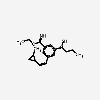 CCCN(S)c1cc(/C=C\C2CC2C)cc(C(=N)OCC)c1